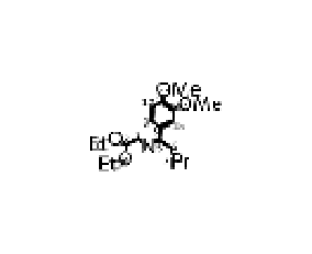 CCOC(C/N=C(/CC(C)C)c1ccc(OC)c(OC)c1)OCC